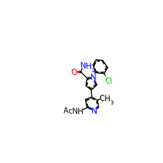 CC(=O)Nc1cc(-c2cc(C(N)=O)n(-c3ccccc3Cl)c2)c(C)cn1